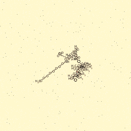 CC[C@H](C)[C@@H]([C@@H](CC(=O)N1CCC[C@H]1[C@H](OC)[C@@H](C)C(=O)N[C@H](C)[C@@H](O)c1ccccc1)OC)N(C)C(=O)[C@@H](NC(=O)[C@H](C(C)C)N(C)C(=O)OCc1ccc(NC(=O)[C@H](CCCNC(N)=O)NC(=O)[C@@H](NC(=O)CN(CC(=O)NCCOCCOCCOCCOCCOCCOCCOCCOC)C(=O)CCCCCN2C(=O)C=CC2=O)C(C)C)cc1)C(C)C